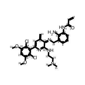 C=CC(=O)Nc1cccc(C/N=C2/C(=C)C=C(c3c(Cl)c(OC)cc(OC)c3Cl)N=C2NCCN(C)C)c1N